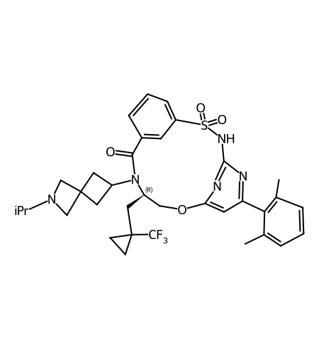 Cc1cccc(C)c1-c1cc2nc(n1)NS(=O)(=O)c1cccc(c1)C(=O)N(C1CC3(C1)CN(C(C)C)C3)[C@H](CC1(C(F)(F)F)CC1)CO2